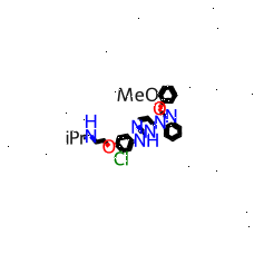 COc1ccccc1Oc1nc2ccccc2n1-c1ccnc(Nc2ccc(OCCNC(C)C)c(Cl)c2)n1